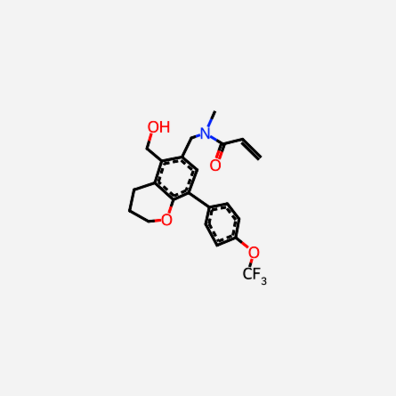 C=CC(=O)N(C)Cc1cc(-c2ccc(OC(F)(F)F)cc2)c2c(c1CO)CCCO2